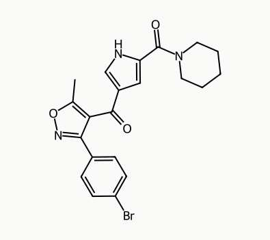 Cc1onc(-c2ccc(Br)cc2)c1C(=O)c1c[nH]c(C(=O)N2CCCCC2)c1